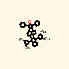 CC(C)c1cc(-c2c3ccccc3c(-c3cc(C(C)(C)C)cc(C(C)(C)C)c3)c3c4ccc5c6c(-c7ccccc7)c(=O)c(-c7ccccc7)c-6c6ccc(c23)c4c65)cc(C(C)(C)C)c1